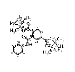 CC1(C)OB(c2ccc(B3OC(C)(C)C(C)(C)O3)c(C(=O)Nc3ccccc3)c2)OC1(C)C